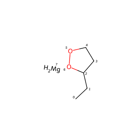 CCC1CCOO1.[MgH2]